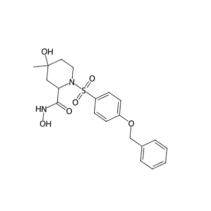 CC1(O)CCN(S(=O)(=O)c2ccc(OCc3ccccc3)cc2)C(C(=O)NO)C1